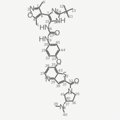 Cc1noc(C)c1-c1nc(C(C)(C)C)[nH]c1NC(=O)Nc1ccc(Oc2ccnc3cc(C(=O)N4CC[C@@H](N(C)C)C4)sc23)cc1